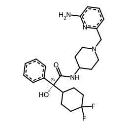 Nc1cccc(CN2CCC(NC(=O)[C@](O)(c3ccccc3)C3CCC(F)(F)CC3)CC2)n1